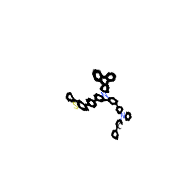 c1ccc(-c2ccc(N(c3ccccc3)c3ccc(-c4ccc5c(c4)c4cc(-c6ccc(-c7ccc8sc9ccccc9c8c7)cc6)ccc4n5-c4ccc5c6ccccc6c6ccccc6c5c4)cc3)cc2)cc1